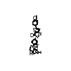 O=c1c2sc(-c3ccc(Cl)cc3)cc2ncn1-c1ccc(N2CC[C@H]3CNC[C@H]32)c(F)c1